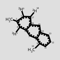 [2H]c1c(C)c([2H])c2cc3c(C)cccc3cc2c1[2H]